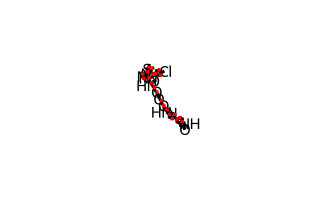 Cc1sc2c(c1C)C(c1ccc(Cl)cc1)=N[C@@H](CC(=O)NCCOCCOCCOCCNc1ccc(-c3ccc4c(c3)CC(=O)N4)cn1)c1nnc(C)n1-2